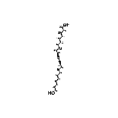 OCCCCCCCCCC#CC#CCCCCCCCCCO